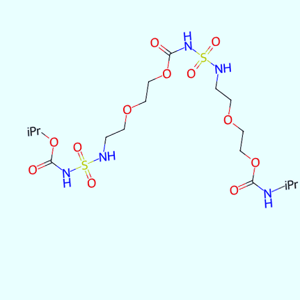 CC(C)NC(=O)OCCOCCNS(=O)(=O)NC(=O)OCCOCCNS(=O)(=O)NC(=O)OC(C)C